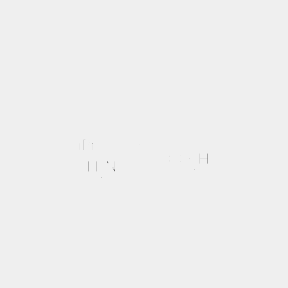 CC(C)C.CC(N)C(=O)O